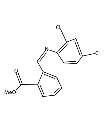 COC(=O)c1ccccc1/C=N\c1ccc(Cl)cc1Cl